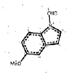 COc1ccc2c(ccn2C=O)c1